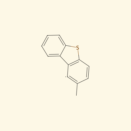 Cc1[c]c2c(cc1)sc1ccccc12